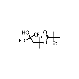 CCC(C)(C)C(=O)OC(C)(C)CC(O)(C(F)(F)F)C(F)(F)F